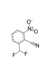 N#Cc1c(C(F)F)cccc1[N+](=O)[O-]